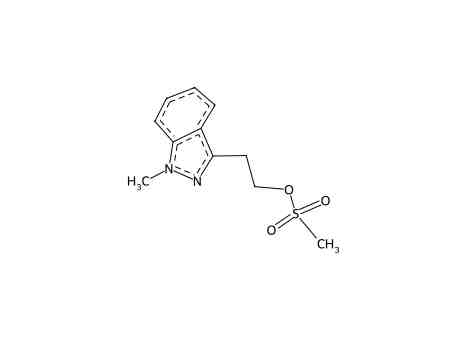 Cn1nc(CCOS(C)(=O)=O)c2ccccc21